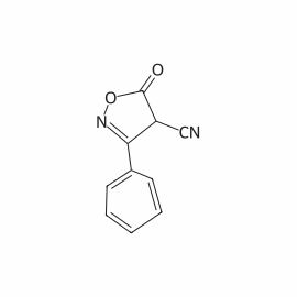 N#CC1C(=O)ON=C1c1ccccc1